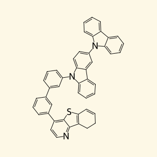 C1=Cc2sc3c(-c4cccc(-c5cccc(-n6c7ccccc7c7cc(-n8c9ccccc9c9ccccc98)ccc76)c5)c4)ccnc3c2CC1